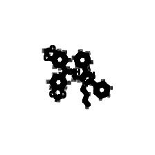 CCCCn1c(-c2ccccc2)nc(-c2ccccc2)c1CNC(c1ccc2c(c1)OCO2)c1ccc2c(c1)OCO2